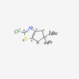 CCCCC1(CCC)Cc2nc(Cl)sc2C1